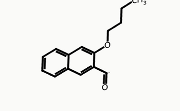 CCCCOc1cc2ccccc2cc1[C]=O